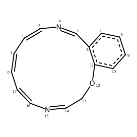 C1=CC=CN=Cc2ccccc2OCC=NC=C1